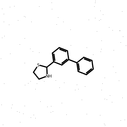 c1ccc(-c2cccc(C3NCCS3)c2)cc1